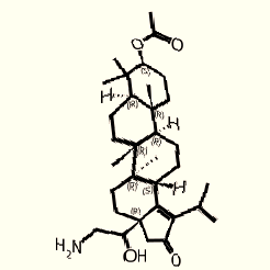 CC(=O)O[C@H]1CC[C@]2(C)[C@H]3CC[C@@H]4C5=C(C(C)C)C(=O)C[C@]5(C(O)CN)CC[C@@]4(C)[C@]3(C)CC[C@H]2C1(C)C